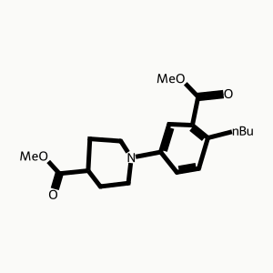 CCCCc1ccc(N2CCC(C(=O)OC)CC2)cc1C(=O)OC